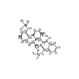 Cc1c2c(c(CC(C)(C)C)c3ccccc13)Oc1cc3cncc(CC(C)(C)C)c3c3cc[n+](C)c-2c13